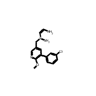 COc1ncc(CN(N)/C=C\N)cc1-c1cccc(Cl)c1